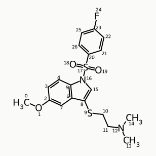 COc1ccc2c(c1)c(SCCN(C)C)cn2S(=O)(=O)c1ccc(F)cc1